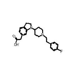 O=C(O)Cc1ccc2c(c1)N(C1CCN(CCc3ccc(F)cc3)CC1)CC2